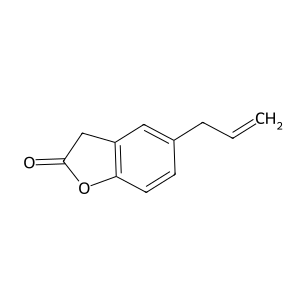 C=CCc1ccc2c(c1)CC(=O)O2